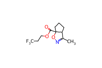 CC1=NOC2(C(=O)OCCC(F)(F)F)CCCC12